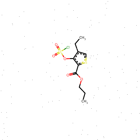 CCCOC(=O)c1scc(CC)c1OS(=O)(=O)Cl